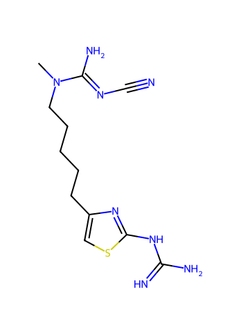 CN(CCCCCc1csc(NC(=N)N)n1)C(N)=NC#N